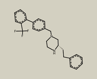 FC(F)(F)c1ccccc1-c1ccc(CN2CCN[C@@H](CCc3ccccc3)C2)cc1